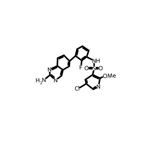 COc1ncc(Cl)cc1S(=O)(=O)Nc1cccc(-c2ccc3nc(N)ncc3c2)c1F